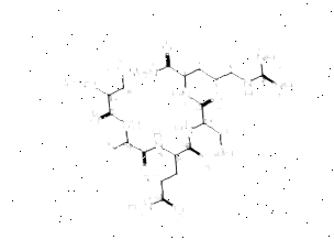 CNC(=O)C(CCCNC(=N)N)NC(=O)C(CC(C)C)NC(=O)C(CCC(N)=O)NC(=O)C(C)NC(=O)C(CO)NC(C)=O